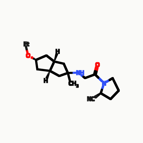 CCO[C@H]1C[C@@H]2CC(C)(NCC(=O)N3CCC[C@H]3C#N)C[C@@H]2C1